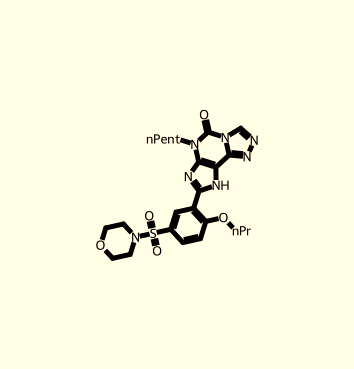 CCCCCn1c(=O)n2cnnc2c2[nH]c(-c3cc(S(=O)(=O)N4CCOCC4)ccc3OCCC)nc21